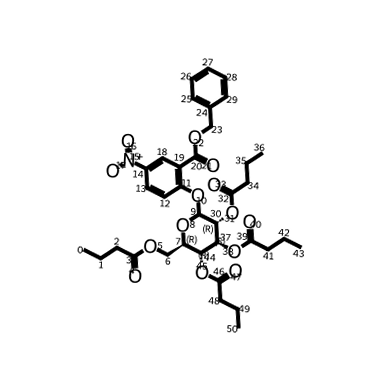 CCCC(=O)OC[C@H]1OC(Oc2ccc([N+](=O)[O-])cc2C(=O)OCc2ccccc2)[C@H](OC(=O)CCC)[C@@H](OC(=O)CCC)[C@@H]1OC(=O)CCC